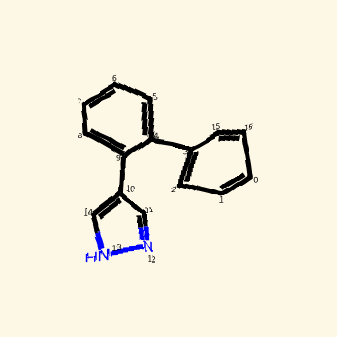 c1ccc(-c2ccccc2-c2cn[nH]c2)cc1